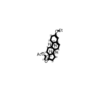 CCOC1=CC2=CC[C@@H]3[C@H](CC[C@]4(C(C)OC(C)=O)C(=O)CC[C@@H]34)[C@H]2CC1